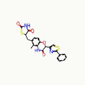 Cc1c(CC2SC(=O)NC2=O)ccc2c1NC(=O)C(c1csc(-c3ccccc3)n1)O2